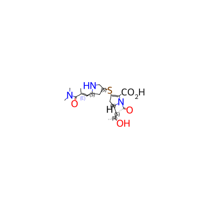 C/C(=C\[C@@H]1C[C@H](SC2=C(C(=O)O)N3C(=O)[C@H]([C@@H](C)O)[C@H]3C2)CN1)C(=O)N(C)C